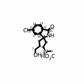 CN(CCC1(CCCO)NC(=O)c2ccc(Cl)cc21)C(=O)O